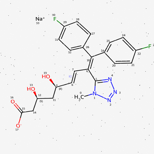 Cn1nnnc1C(/C=C/[C@H](O)C[C@H](O)CC(=O)[O-])=C(c1ccc(F)cc1)c1ccc(F)cc1.[Na+]